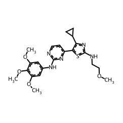 COCCNc1nc(C2CC2)c(-c2ccnc(Nc3cc(OC)c(OC)c(OC)c3)n2)s1